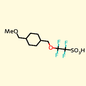 COCC1CCC(COC(F)(F)C(F)(F)S(=O)(=O)O)CC1